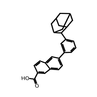 O=C(O)c1ccc2cc(-c3cccc(C4C5CC6CC(C5)CC4C6)c3)ccc2c1